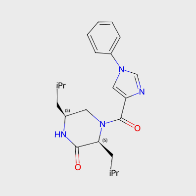 CC(C)C[C@H]1CN(C(=O)c2cn(-c3ccccc3)cn2)[C@@H](CC(C)C)C(=O)N1